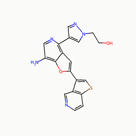 Nc1cnc(-c2cnn(CCO)c2)c2cc(-c3csc4ccncc34)oc12